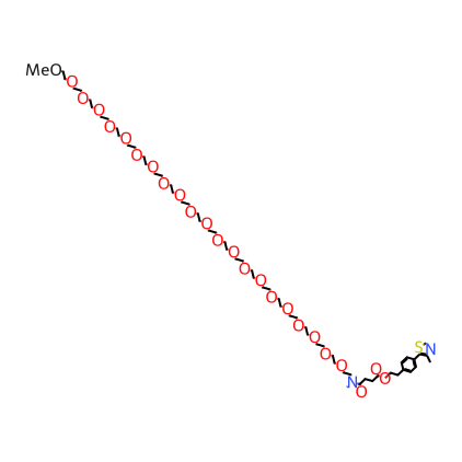 COCCOCCOCCOCCOCCOCCOCCOCCOCCOCCOCCOCCOCCOCCOCCOCCOCCOCCOCCOCCOCCOCCN(C)C(=O)CCC(=O)OCCc1ccc(-c2scnc2C)cc1